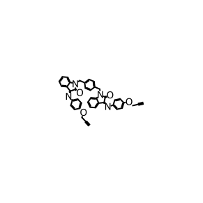 C#CCOc1ccc(/N=C2\C(=O)N(Cc3ccc(CN4C(=O)/C(=N\c5ccc(OCC#C)cc5)c5ccccc54)cc3)c3ccccc32)cc1